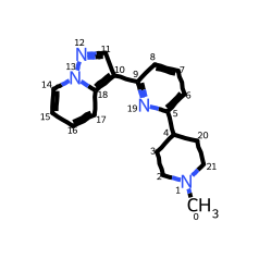 CN1CCC(c2cccc(-c3cnn4ccccc34)n2)CC1